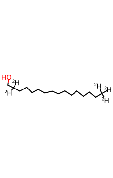 [2H]C([2H])([2H])CCCCCCCCCCCCCC([2H])([2H])CO